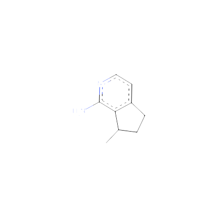 CC1CCc2ccnc(N)c21